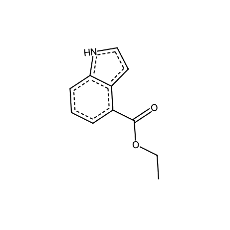 CCOC(=O)c1cccc2[nH]ccc12